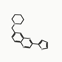 [c]1nc2ccc(CN3CCCCC3)cc2nc1-c1cccs1